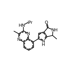 Cc1nc2cccc(-c3cc4c([nH]3)C(C)NC4=O)c2nc1NC(C)C